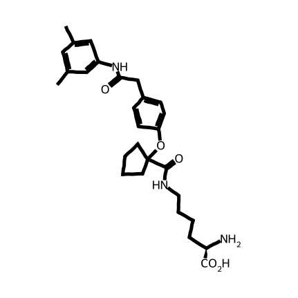 Cc1cc(C)cc(NC(=O)Cc2ccc(OC3(C(=O)NCCCC[C@@H](N)C(=O)O)CCCC3)cc2)c1